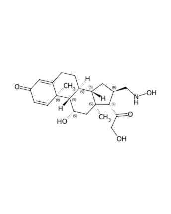 C[C@]12C[C@H](O)[C@H]3[C@@H](CCC4=CC(=O)C=C[C@@]43C)[C@@H]1C[C@@H](CNO)[C@@H]2C(=O)CO